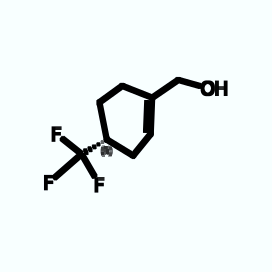 OCC1=CC[C@H](C(F)(F)F)CC1